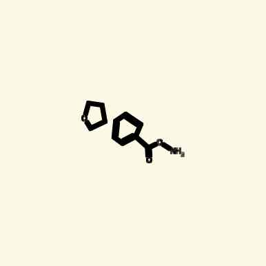 C1CCOC1.NOC(=O)c1ccccc1